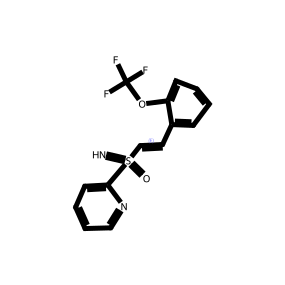 N=S(=O)(/C=C/c1ccccc1OC(F)(F)F)c1ccccn1